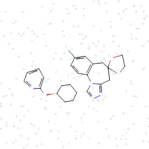 Fc1ccc2c(c1)CC1(Cc3nnc([C@H]4CC[C@H](Oc5ccccn5)CC4)n3-2)OCCO1